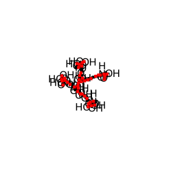 CO[C@H]1C[C@H](O)C[C@H]1NC(=O)CCCCCCCCCCC(=O)NC(CCC(=O)NC(CCC(=O)NCCOCCOC1OC(CO)C(O)C(O)C1NC(C)=O)C(=O)NCCOCCOC1OC(CO)C(O)C(O)C1NC(C)=O)C(=O)NCCOCCOC1OC(CO)C(O)C(O)C1NC(C)=O